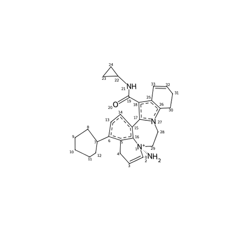 N[N@+]12C=CCc3c(C4CCCCC4)ccc(c31)-c1c(C(=O)NC3CC3)c3c(n1CC2)CCC=C3